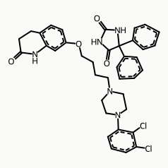 O=C1CCc2ccc(OCCCCN3CCN(c4cccc(Cl)c4Cl)CC3)cc2N1.O=C1NC(=O)C(c2ccccc2)(c2ccccc2)N1